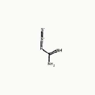 [N-]=[N+]=NC(=N)N